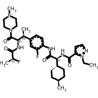 CCn1nccc1C(=O)N[C@H](C(=O)Nc1ccc([C@H](C)[C@@H](NC(=O)[C@H](C)F)C(=O)N2CCN(C)CC2)cc1F)[C@H]1CC[C@H](C)CC1